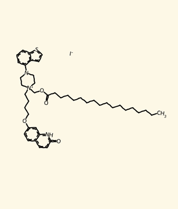 CCCCCCCCCCCCCCCCCC(=O)OC[N+]1(CCCCOc2ccc3ccc(=O)[nH]c3c2)CCN(c2cccc3sccc23)CC1.[I-]